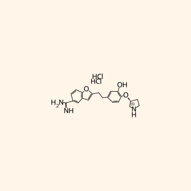 Cl.Cl.N=C(N)c1ccc2oc(CCc3ccc(O[C@H]4CCNC4)c(O)c3)cc2c1